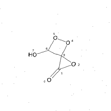 O=C1OC12OOC2O